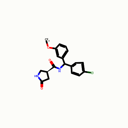 O=C1C[C@H](C(=O)NC(c2ccc(Cl)cc2)c2cccc(OC(F)(F)F)c2)CN1